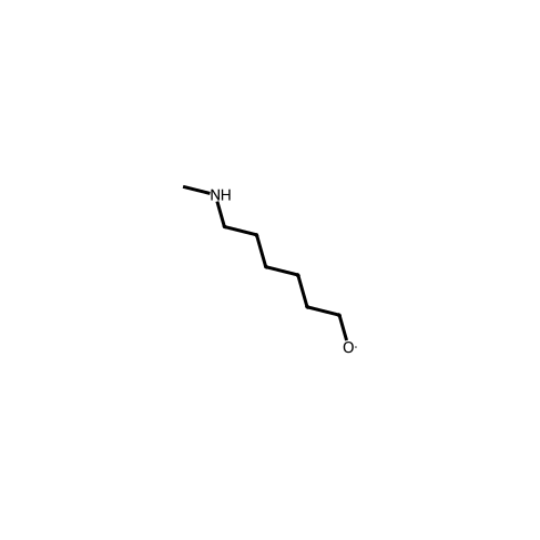 CNCCCCCC[O]